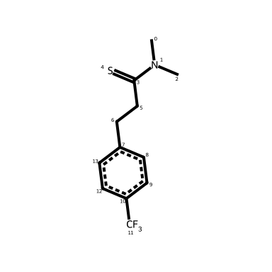 CN(C)C(=S)CCc1ccc(C(F)(F)F)cc1